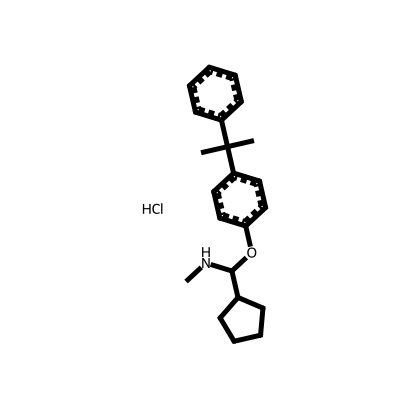 CNC(Oc1ccc(C(C)(C)c2ccccc2)cc1)C1CCCC1.Cl